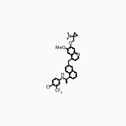 C=C(Nc1ccc(Cl)c(C(F)(F)F)c1)c1cccc2cc(Cc3ccnc4cc(OCC5(N(C)C)CC5)c(OC)cc34)ccc12